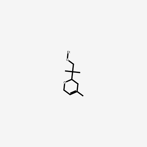 CCOCC(C)(C)C1CC(C)=CCO1